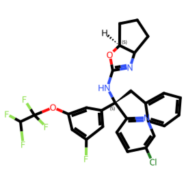 Fc1cc(OC(F)(F)C(F)F)cc([C@](Cc2ccccc2)(NC2=NC3CCC[C@@H]3O2)c2ccc(Cl)cn2)c1